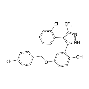 Oc1ccc(OCc2ccc(Cl)cc2)cc1-c1[nH]nc(C(F)(F)F)c1-c1ccccc1Cl